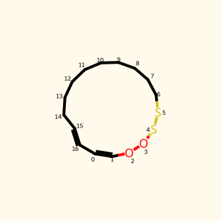 C1=C\OOSSCCCCCCCCC/C=C/1